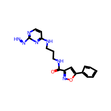 N=Nc1nccc(NCCCNC(=O)c2cc(-c3ccccc3)on2)n1